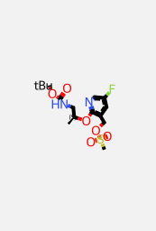 C[C@@H](CNC(=O)OC(C)(C)C)Oc1ncc(F)cc1COS(C)(=O)=O